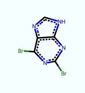 Brc1nc(Br)c2nc[nH]c2n1